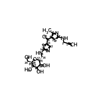 C#CCNc1nc(C)c(C(=O)c2cnc(NC[C@H]3O[C@H](CO)[C@@H](O)[C@H](O)[C@@H]3O)s2)s1